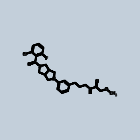 COCC(=O)NCCCc1cccc(N2CC3CN(C(=O)c4c(F)cccc4Cl)CC3C2)c1